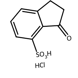 Cl.O=C1CCc2cccc(S(=O)(=O)O)c21